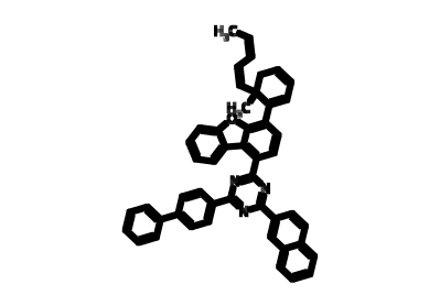 C/C=C\C=C/C1(C)CC=CC=C1c1ccc(-c2nc(-c3ccc(-c4ccccc4)cc3)nc(-c3ccc4ccccc4c3)n2)c2c1oc1ccccc12